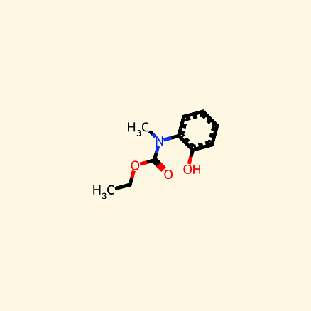 CCOC(=O)N(C)c1ccccc1O